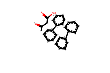 CC(=O)CC(=O)O.c1ccc(-c2ccccc2)cc1.c1ccc(-c2ccccc2)cc1